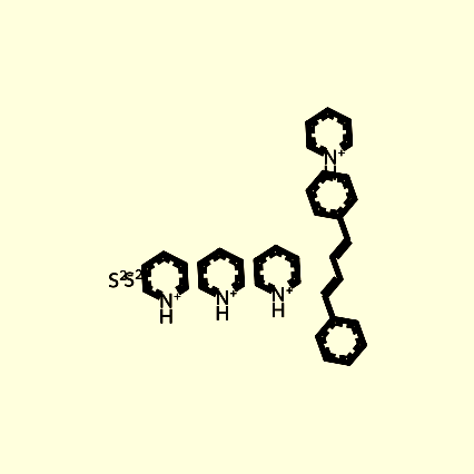 C(/C=C/c1ccccc1)=C\c1ccccc1.[S-2].[S-2].c1cc[nH+]cc1.c1cc[nH+]cc1.c1cc[nH+]cc1.c1cc[nH+]cc1